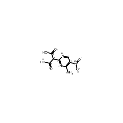 Nc1nc(C(C(=O)O)C(=O)O)ncc1[N+](=O)[O-]